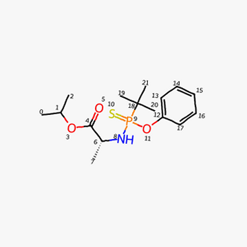 CC(C)OC(=O)[C@@H](C)NP(=S)(Oc1ccccc1)C(C)(C)C